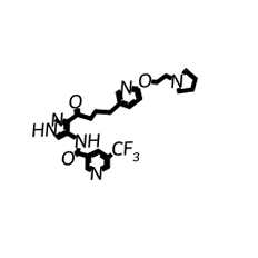 O=C(Nc1c[nH]nc1C(=O)CCCc1ccc(OCCN2CCCC2)nc1)c1cncc(C(F)(F)F)c1